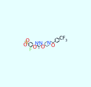 Cc1c(Oc2ccc(S(C)(=O)=O)cc2F)ncnc1OC1CCN(CC(=O)c2ccc(C(F)(F)F)cc2)CC1